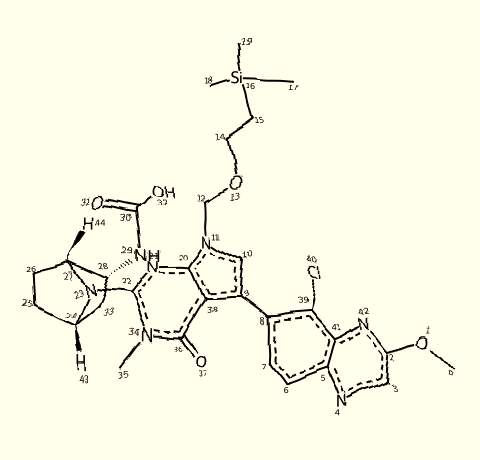 COc1cnc2ccc(-c3cn(COCC[Si](C)(C)C)c4nc(N5[C@H]6CC[C@@H]5[C@H](NC(=O)O)C6)n(C)c(=O)c34)c(Cl)c2n1